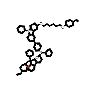 C=Cc1ccc(CC2(c3ccccc3)c3ccccc3-c3ccc(N(c4ccccc4)c4ccc(-c5ccc6c(c5)c5cc(OCCCCCCOc7ccc(C=C)cc7)ccc5n6-c5ccccc5)cc4)cc32)cc1